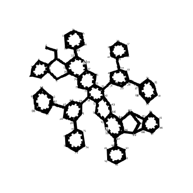 CCC1c2ccccc2Cc2c1c(-c1ccccc1)nc1cc3c(-c4cc(-c5ccccc5)cc(-c5ccccc5)c4)c4cc5c6c(c(-c7ccccc7)nc5cc4c(-c4cc(-c5ccccc5)cc(-c5ccccc5)c4)c3cc21)C1CC6c2ccccc21